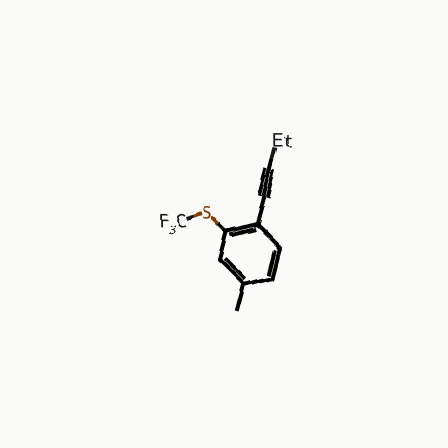 CCC#Cc1ccc(C)cc1SC(F)(F)F